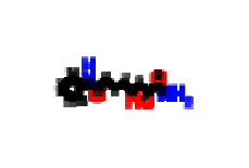 NC(=O)C(O)CCCCCC(=O)Nc1ccccc1